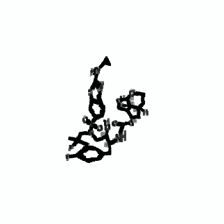 CC(C)(F)CN(C[C@@H](O)[C@H](Cc1ccc(F)cc1)NC(=O)O[C@H]1C[C@H]2CCO[C@H]3OCC1[C@@H]23)S(=O)(=O)c1ccc2nc(NC3CC3)oc2c1